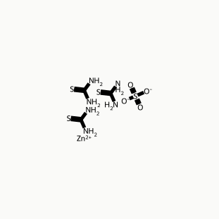 NC(N)=S.NC(N)=S.NC(N)=S.O=S(=O)([O-])[O-].[Zn+2]